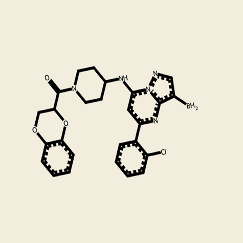 Bc1cnn2c(NC3CCN(C(=O)C4COc5ccccc5O4)CC3)cc(-c3ccccc3Cl)nc12